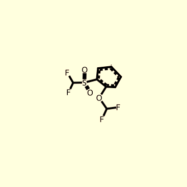 O=S(=O)(c1c[c]ccc1OC(F)F)C(F)F